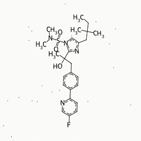 CCC(C)(C)Cc1cn(S(=O)(=O)N(C)C)c(C(C)(O)Cc2ccc(-c3ccc(F)cn3)cc2)n1